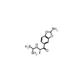 BC(B)N[C@H](C)C(=O)c1ccc2c(c1)OC(B)O2